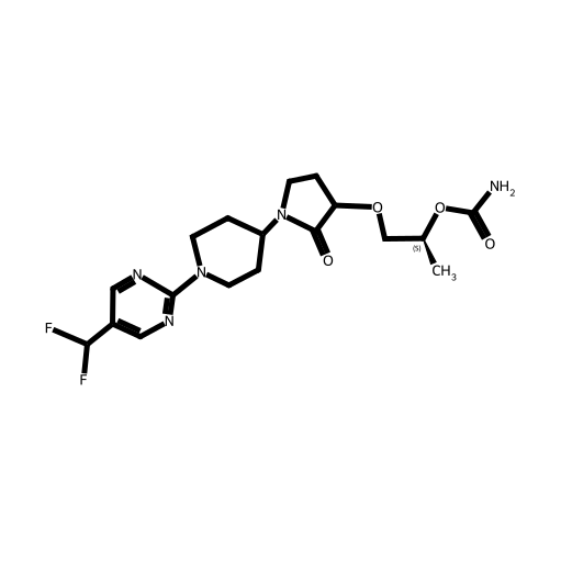 C[C@@H](COC1CCN(C2CCN(c3ncc(C(F)F)cn3)CC2)C1=O)OC(N)=O